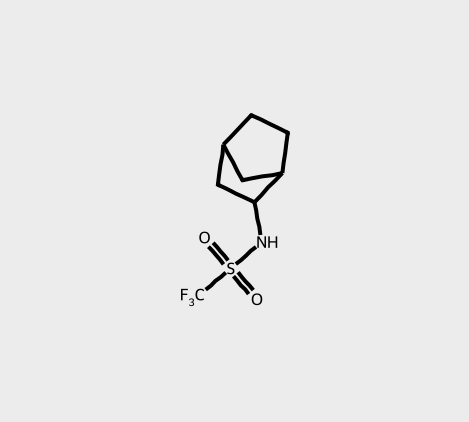 O=S(=O)(NC1CC2CCC1C2)C(F)(F)F